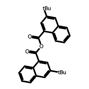 CC(C)(C)c1cc(C(=O)OC(=O)c2cc(C(C)(C)C)cc3ccccc23)c2ccccc2c1